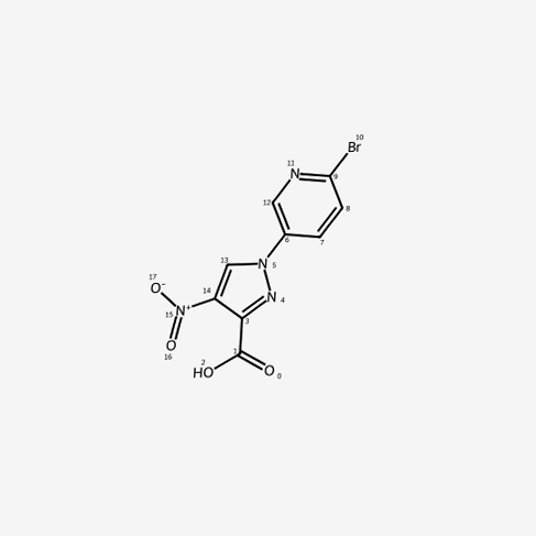 O=C(O)c1nn(-c2ccc(Br)nc2)cc1[N+](=O)[O-]